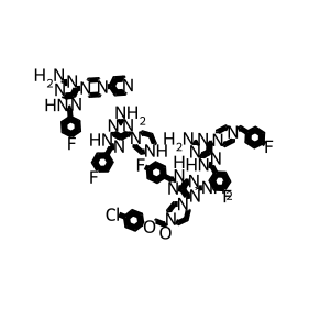 Nc1nc(N2CCCN(C(=O)COc3ccc(Cl)cc3)CC2)c2nc(-c3ccc(F)cc3)[nH]c2n1.Nc1nc(N2CCCNCC2)c2nc(-c3ccc(F)cc3)[nH]c2n1.Nc1nc(N2CCN(Cc3ccc(F)cc3)CC2)c2nc(-c3ccc(F)cc3)[nH]c2n1.Nc1nc(N2CCN(c3ccncc3)CC2)c2nc(-c3ccc(F)cc3)[nH]c2n1